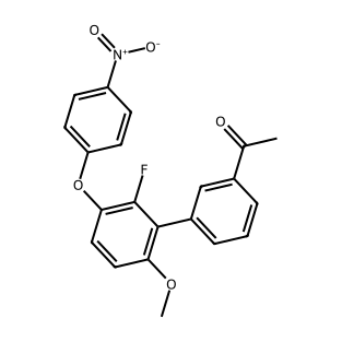 COc1ccc(Oc2ccc([N+](=O)[O-])cc2)c(F)c1-c1cccc(C(C)=O)c1